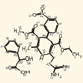 CCOC(=O)C1=C(CSC(=N)N)NC(C)=C(C(=O)OC)C1c1cccc([N+](=O)[O-])c1.O=C(O)C(O)c1ccccc1